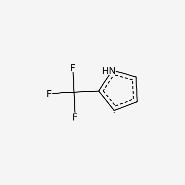 FC(F)(F)c1[c]cc[nH]1